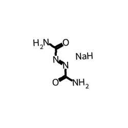 NC(=O)N=NC(N)=O.[NaH]